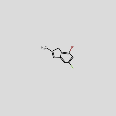 CC1=Cc2cc(F)cc(Br)c2C1